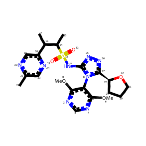 COc1ncnc(OC)c1-n1c(NS(=O)(=O)C(C)C(C)c2cnc(C)cn2)nnc1[C@@H]1CCCO1